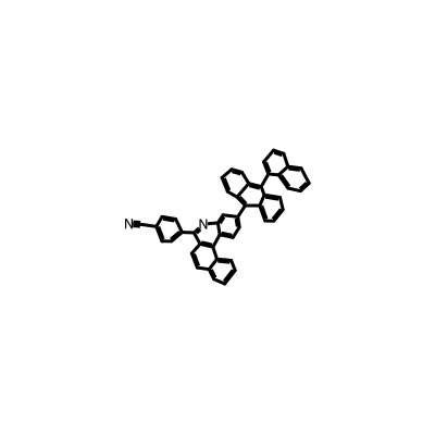 N#Cc1ccc(-c2nc3cc(-c4c5ccccc5c(-c5cccc6ccccc56)c5ccccc45)ccc3c3c2ccc2ccccc23)cc1